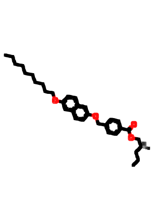 CCCCCCCCCCOc1ccc2cc(OCc3ccc(C(=O)OC[C@H](C)CCC)cc3)ccc2c1